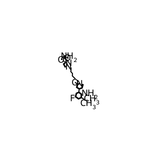 CC(C)c1cc(F)cc(-c2ccnc(OCCCCCn3ccc(S(N)(=O)=O)n3)c2)c1N